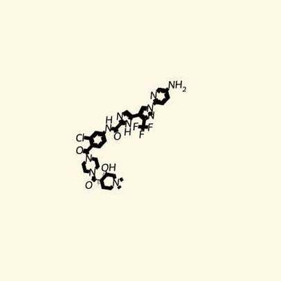 C[N+]1(C)CC[C@H](C(=O)N2CCN(C(=O)c3ccc(NC(=O)c4ncc(-c5cn(-c6ccc(N)cn6)nc5C(F)(F)F)[nH]4)cc3Cl)CC2)[C@H](O)C1